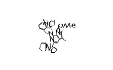 COCn1c(C)c(C)c2cc(C(=O)N3CCCCC3)nc(N3CCc4ccccc4C3)c21.Cl